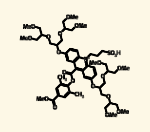 COCC(COC)OCC(COC(COC)COC)Oc1ccc2c(c1)c(C(=O)Oc1c(C)cc(C(=O)OC)cc1C)c1cc(OC(COC(COC)COC)COC(COC)COC)ccc1[n+]2CCCS(=O)(=O)O